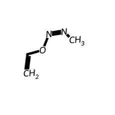 C=CO/N=N\C